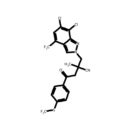 CC(C#N)(CC(=O)c1ccc(SC(F)(F)F)cc1)Cn1cc2c(C(F)(F)F)cc(Cl)c(Cl)c2n1